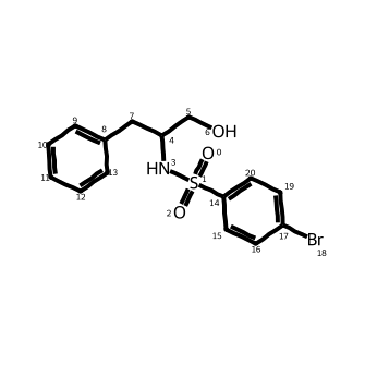 O=S(=O)(NC(CO)Cc1ccccc1)c1ccc(Br)cc1